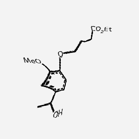 CCOC(=O)CCCOc1ccc(C(C)O)cc1OC